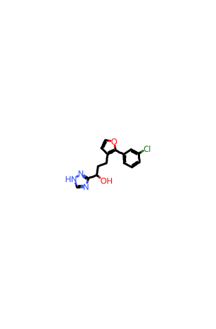 OC(CCc1ccoc1-c1cccc(Cl)c1)c1nc[nH]n1